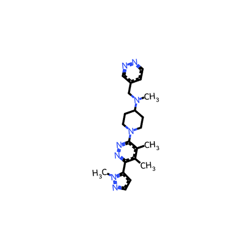 Cc1c(-c2ccnn2C)nnc(N2CCC(N(C)Cc3ccnnc3)CC2)c1C